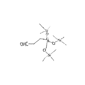 C[Si](C)(C)O[Si](CCC=O)(O[Si](C)(C)C)O[Si](C)(C)C